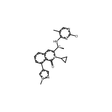 Cc1cnc(Cl)nc1N[C@@H](C)c1cc2cccc(-c3cnn(C)c3)c2c(=O)n1C1CC1